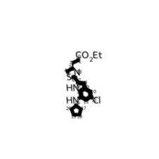 CCOC(=O)CC[C@@H]1CSC(c2cc3cc(Cl)cc(NC4CCCC4)c3[nH]2)=N1